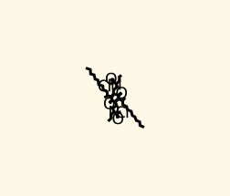 CCCCCCCCCCC(C)C1=C(CCN(CCC)C(=O)Cl)C(=O)C(C(C)CCCCCCCCCC)=C(CCN(CCC)C(=O)Cl)C1=O